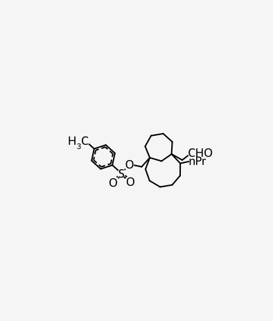 CCCC1CCCCCC2(COS(=O)(=O)c3ccc(C)cc3)CCCCC1(CC=O)C2